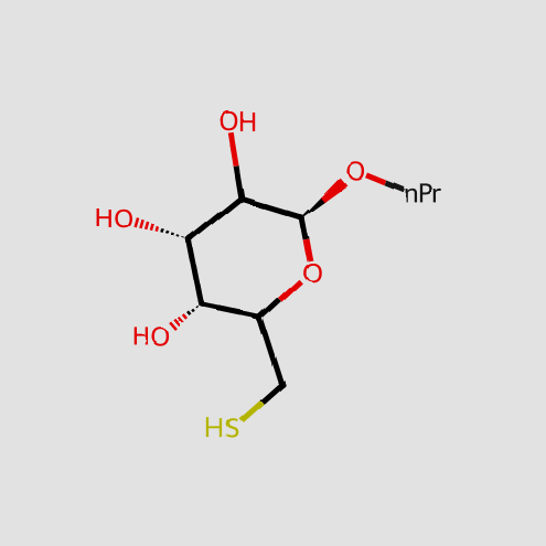 CCCO[C@H]1OC(CS)[C@H](O)[C@H](O)C1O